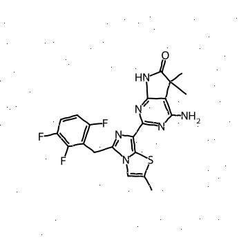 Cc1cn2c(Cc3c(F)ccc(F)c3F)nc(-c3nc(N)c4c(n3)NC(=O)C4(C)C)c2s1